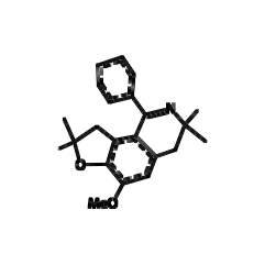 COc1cc2c(c3c1OC(C)(C)C3)C(c1ccccc1)=NC(C)(C)C2